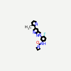 Cc1cccnc1-c1cnc2nn(-c3cc(NC(=O)N4CCC4)ccc3F)cc2c1